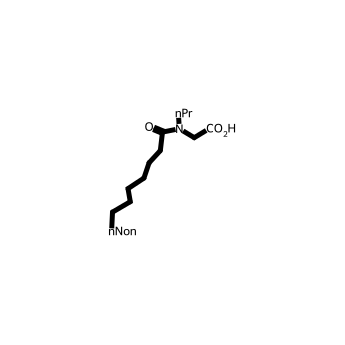 CCCCCCCCCCCCCCCC(=O)N(CCC)CC(=O)O